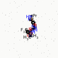 CCCNc1ncc(-c2ccc(Oc3ncc(NC(=O)Nc4cc(C(F)(F)F)ccc4S(=O)(=O)N(C)C)cn3)cc2)s1